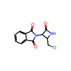 O=C1NC(CCl)C1N1C(=O)c2ccccc2C1=O